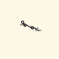 O=C(/C=C/c1ccc(CNCCc2ccc3[nH]c4c(c3c2)CCCC4)cc1)NO